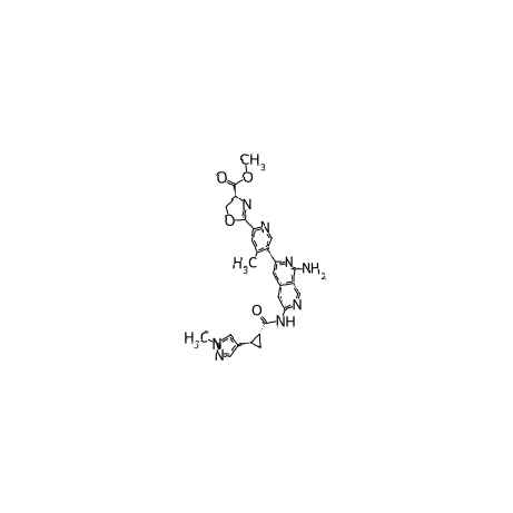 COC(=O)[C@@H]1COC(c2cc(C)c(-c3cc4cc(NC(=O)[C@@H]5C[C@H]5c5cnn(C)c5)ncc4c(N)n3)cn2)=N1